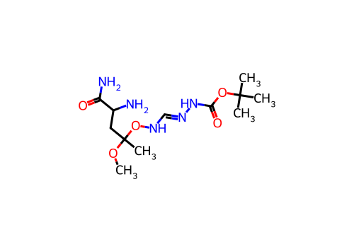 COC(C)(CC(N)C(N)=O)ONC=NNC(=O)OC(C)(C)C